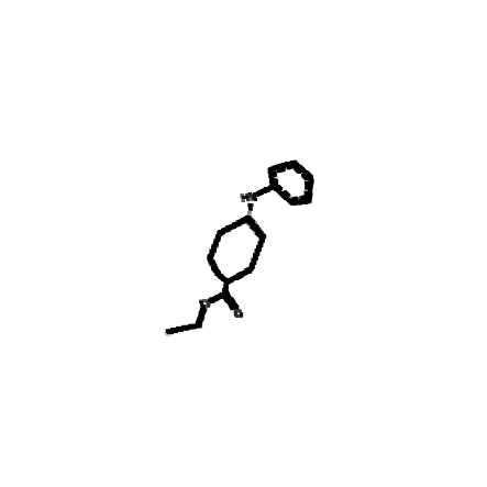 CCOC(=O)[C@H]1CC[C@H](Nc2ccccc2)CC1